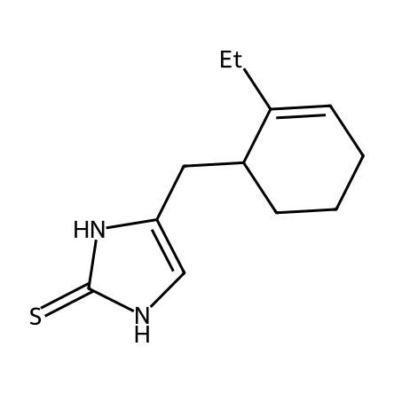 CCC1=CCCCC1Cc1c[nH]c(=S)[nH]1